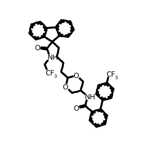 O=C(NC1COC(CCCCC2(C(=O)NCC(F)(F)F)c3ccccc3-c3ccccc32)OC1)c1ccccc1-c1ccc(C(F)(F)F)cc1